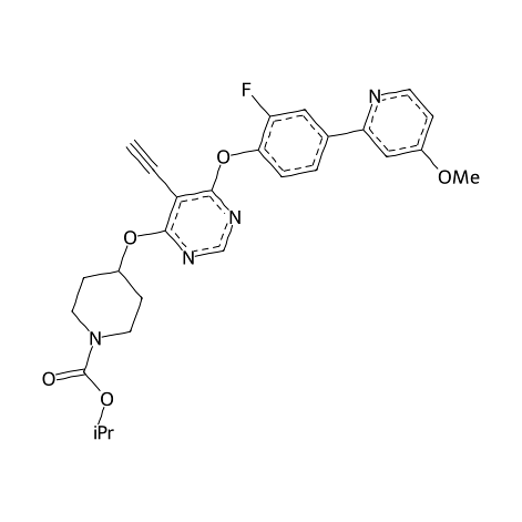 C#Cc1c(Oc2ccc(-c3cc(OC)ccn3)cc2F)ncnc1OC1CCN(C(=O)OC(C)C)CC1